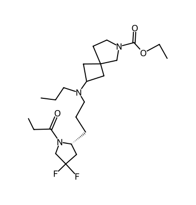 CCCN(CCC[C@@H]1CC(F)(F)CN1C(=O)CC)C1CC2(CCN(C(=O)OCC)C2)C1